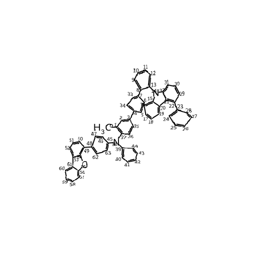 Cc1cc(-c2ccc(-c3ccccc3-n3c4ccccc4c4c(-c5ccccc5)cccc43)cc2)ccc1N(c1ccccc1)c1ccc(-c2cccc3c2oc2ccccc23)cc1